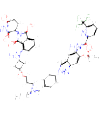 COc1cc2nn([C@H]3CC[C@H](CN(C)CCCO[C@H]4C[C@@H](Nc5cccc6c5C(=O)N(C5CCC(=O)NC5=O)C6=O)C4)CC3)cc2cc1NC(=O)c1cccc(C(F)(F)F)n1